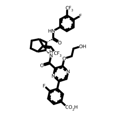 O=C(O)c1ccc(F)c(-c2cnc(OCCO)c(C(=O)N[C@@H]3C4CCC(/C4=C/C(F)(F)F)[C@@H]3C(=O)Nc3ccc(F)c(C(F)(F)F)c3)n2)c1